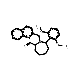 COc1cccc(OC)c1C1CCCCC(C=O)N1Cc1ccc2ccccc2n1